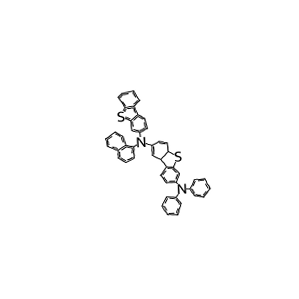 C1=CC2Sc3cc(N(c4ccccc4)c4ccccc4)ccc3C2C=C1N(c1ccc2c(c1)sc1ccccc12)c1cccc2ccccc12